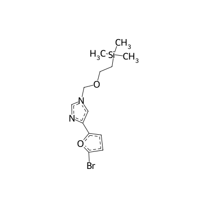 C[Si](C)(C)CCOCn1cnc(-c2ccc(Br)o2)c1